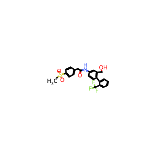 CCS(=O)(=O)c1ccc(CC(=O)Nc2ccc(-c3ccccc3C(F)(F)F)c(CO)c2)cc1